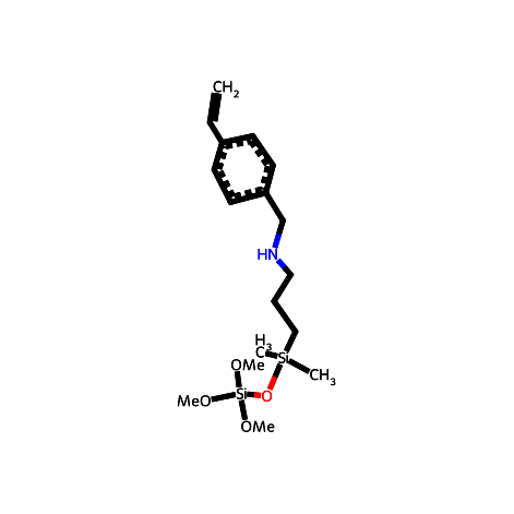 C=Cc1ccc(CNCCC[Si](C)(C)O[Si](OC)(OC)OC)cc1